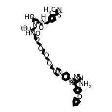 Cc1ncsc1-c1ccc(CNC(=O)[C@@H]2C[C@@H](O)CN2C[C@@H](NC(=O)COCCOCCOCCOCCN2CCN(C3CCC(n4nc(-c5ccc(Oc6ccccc6)cc5)c5c(N)ncnc54)CC3)CC2)C(C)(C)C)cc1